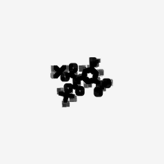 CC(C)(C)OC(=O)N(C(=O)OC(C)(C)C)c1cc(Br)cc([N+](=O)[O-])c1